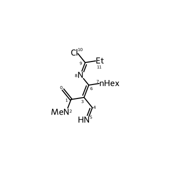 C=C(NC)/C(C=N)=C(CCCCCC)\N=C(\Cl)CC